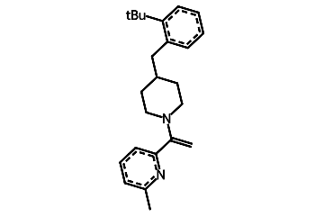 C=C(c1cccc(C)n1)N1CCC(Cc2ccccc2C(C)(C)C)CC1